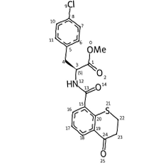 COC(=O)[C@H](Cc1ccc(Cl)cc1)NC(=O)c1cccc2c1SCCC2=O